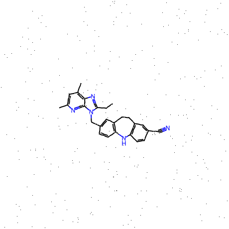 CCc1nc2c(C)cc(C)nc2n1Cc1ccc2c(c1)CCc1cc(C#N)ccc1N2